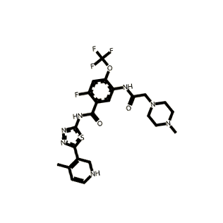 CC1=C(c2nnc(NC(=O)c3cc(NC(=O)CN4CCN(C)CC4)c(OC(F)(F)F)cc3F)s2)CNC=C1